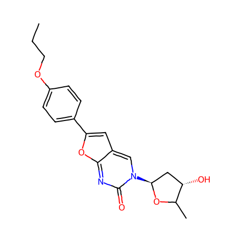 CCCOc1ccc(-c2cc3cn([C@H]4C[C@H](O)C(C)O4)c(=O)nc3o2)cc1